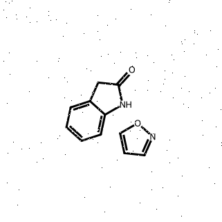 O=C1Cc2ccccc2N1.c1cnoc1